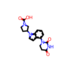 O=C1CCN(c2cccc3c2ccn3C2CCN(C(=O)O)C2)C(=O)N1